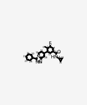 Cc1c(F)cc(C(=O)NC2CC2)cc1-c1ccn2c(-c3ccccc3)nnc2c1